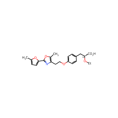 CCO[C@@H](Cc1ccc(OCCc2nc(-c3ccc(C)o3)oc2C)cc1)C(=O)O